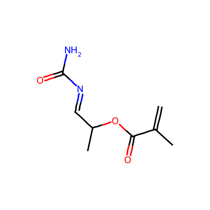 C=C(C)C(=O)OC(C)/C=N/C(N)=O